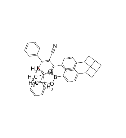 CC1(C)OB(c2ccc(C3CC4CC5CC(c6ccc(-c7nc(-c8ccccc8)nc(-c8ccccc8)c7C#N)cc6)C453)cc2)OC1(C)C